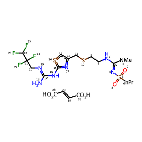 CCCS(=O)(=O)N=C(NC)NCCSCc1csc(NC(N)=NCC(F)(F)C(F)F)n1.O=C(O)C=CC(=O)O